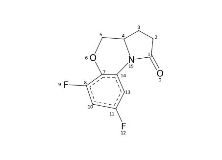 O=C1CCC2COc3c(F)cc(F)cc3N12